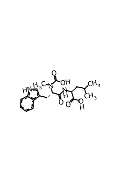 CC(C)C[C@H](NC(=O)[C@H](Cc1c[nH]c2ccccc12)N(C)C(=O)O)C(=O)O